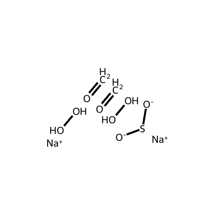 C=O.C=O.OO.OO.[Na+].[Na+].[O-]S[O-]